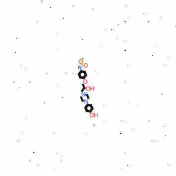 CO[SH](=O)=Nc1ccc(OCC(O)CN2CCN(c3ccc(O)cc3)CC2)cc1